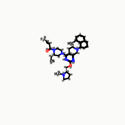 Cc1cccc2cccc(N3CCc4c(nc(OC[C@@H]5CCCN5C)nc4N4CCN(C(=O)/C=C/C(F)(F)F)[C@@H](CC#N)C4)C3)c12